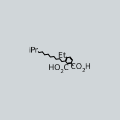 CCc1ccc(C(=O)O)c(C(=O)O)c1CCCCCCCCCC(C)C